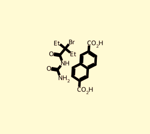 CCC(Br)(CC)C(=O)NC(N)=O.O=C(O)c1ccc2cc(C(=O)O)ccc2c1